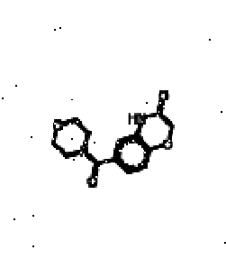 O=C1COc2ccc(C(=O)N3CCOCC3)cc2N1